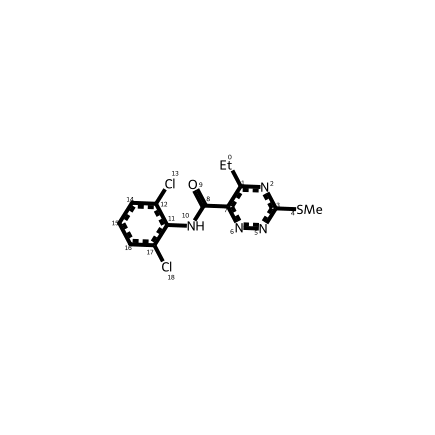 CCc1nc(SC)nnc1C(=O)Nc1c(Cl)cccc1Cl